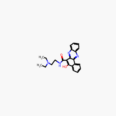 CCN(CC)CCNC(=O)c1c(O)c2ccccc2c2nc3ccccc3nc12